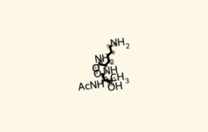 CC(=O)N[C@H](C(=O)NC(CCCCN)C(N)=O)[C@H](C)O